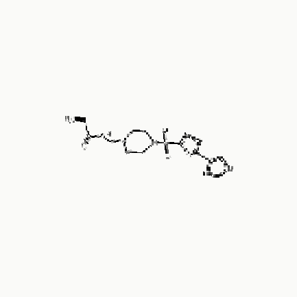 C=CC(=O)NCC1CCN(S(=O)(=O)c2ccc(-c3cnco3)s2)CC1